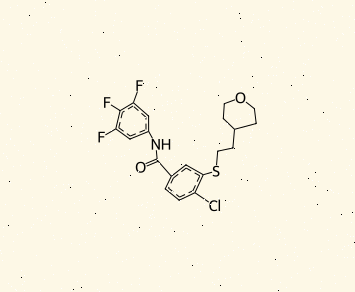 O=C(Nc1cc(F)c(F)c(F)c1)c1ccc(Cl)c(SCCC2CCOCC2)c1